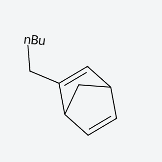 CCCCCC1=CC2C=CC1C2